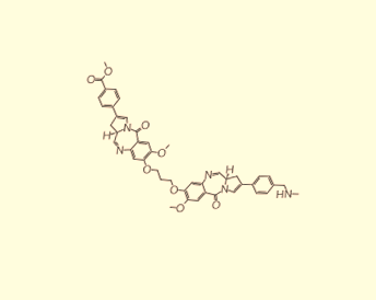 CNCc1ccc(C2=CN3C(=O)c4cc(OC)c(OCCCOc5cc6c(cc5OC)C(=O)N5C=C(c7ccc(C(=O)OC)cc7)C[C@H]5C=N6)cc4N=C[C@@H]3C2)cc1